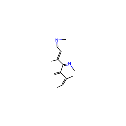 C=C(/C(C)=C\C)C(=N\C)/C(C)=C/C=N\C